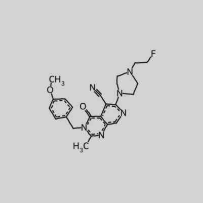 COc1ccc(Cn2c(C)nc3cnc(N4CCN(CCF)CC4)c(C#N)c3c2=O)cc1